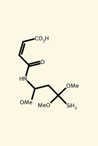 COC(CC([SiH3])(OC)OC)NC(=O)/C=C\C(=O)O